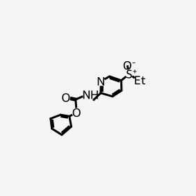 CC[S+]([O-])c1ccc(CNC(=O)Oc2ccccc2)nc1